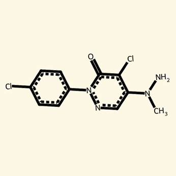 CN(N)c1cnn(-c2ccc(Cl)cc2)c(=O)c1Cl